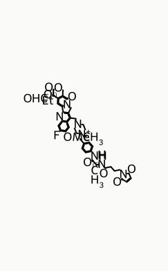 CC[C@@]1(OC=O)C(=O)OCc2c1cc1n(c2=O)Cc2c-1nc1cc(F)c(OC)cc1c2CN1CC[N+](C)(Cc2ccc(NC(=O)[C@H](C)NC(=O)CCCN3C(=O)C=CC3=O)cc2)CC1